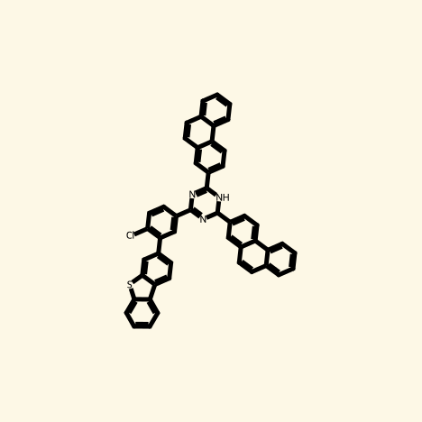 Clc1ccc(C2=NC(c3ccc4c(ccc5ccccc54)c3)NC(c3ccc4c(ccc5ccccc54)c3)=N2)cc1-c1ccc2c(c1)sc1ccccc12